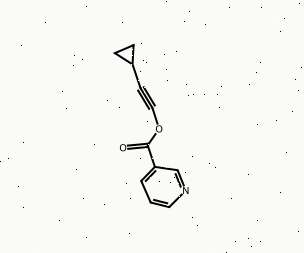 O=C(OC#CC1CC1)c1cccnc1